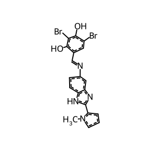 Cn1cccc1-c1nc2cc(/N=C/c3cc(Br)c(O)c(Br)c3O)ccc2[nH]1